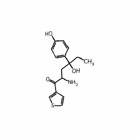 CCC(O)(CC(N)C(=O)c1ccsc1)c1ccc(O)cc1